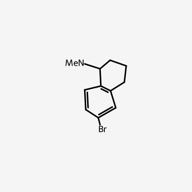 CNC1CCCc2cc(Br)ccc21